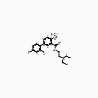 CCN(CC)CCOC(=O)c1cc(-c2ccc(F)cc2F)ccc1O.Cl